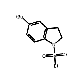 CCS(=O)(=O)N1CCc2cc(C(C)(C)C)ccc21